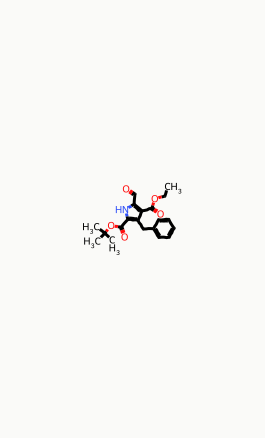 CCOC(=O)c1c(C=O)[nH]c(C(=O)OC(C)(C)C)c1Cc1ccccc1